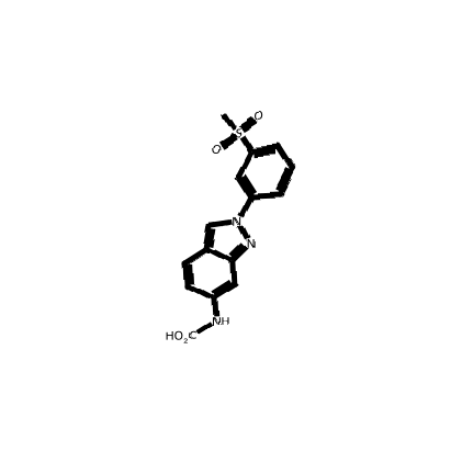 CS(=O)(=O)c1cccc(-n2cc3ccc(NC(=O)O)cc3n2)c1